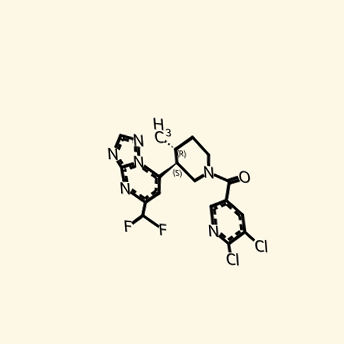 C[C@@H]1CCN(C(=O)c2cnc(Cl)c(Cl)c2)C[C@H]1c1cc(C(F)F)nc2ncnn12